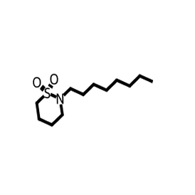 CCCCCCCCN1CCCCS1(=O)=O